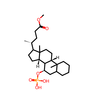 COC(=O)CC[C@@H](C)C1CC[C@H]2C3[C@H](OP(=O)(O)O)CC4CCCCC4(C)[C@H]3CCC12C